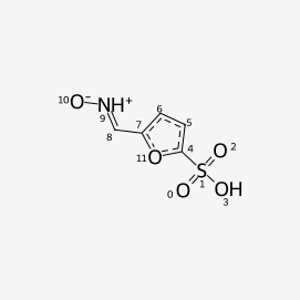 O=S(=O)(O)c1ccc(C=[NH+][O-])o1